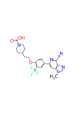 Cn1cnc2c(C#N)nc(-c3ccc(OCCC4CCN(C(=O)O)CC4)c(C(F)(F)F)c3)cc21